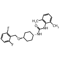 Cc1cccc(C)c1NC(=O)N[C@H]1CC[C@H](OCc2c(F)cccc2F)CC1